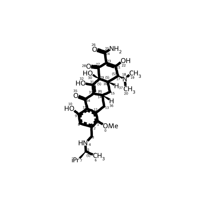 COc1c(CN[C@@H](C)C(C)C)cc(O)c2c1C[C@H]1C[C@H]3[C@H](N(C)C)C(O)=C(C(N)=O)C(=O)[C@@]3(O)C(O)=C1C2=O